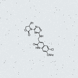 COc1cc2[nH]c(=O)c(CNc3ncnc(N4C(=O)OCC4C(C)C)n3)cc2cc1Cl